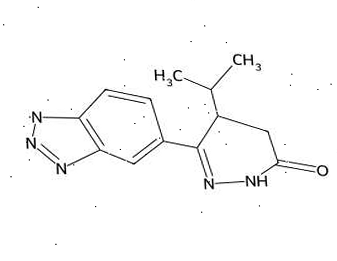 CC(C)C1CC(=O)NN=C1c1ccc2c(c1)N=N[N]2